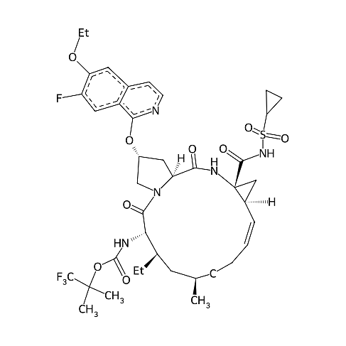 CCOc1cc2ccnc(O[C@@H]3C[C@H]4C(=O)N[C@]5(C(=O)NS(=O)(=O)C6CC6)C[C@H]5C=CCC[C@@H](C)C[C@@H](CC)[C@H](NC(=O)OC(C)(C)C(F)(F)F)C(=O)N4C3)c2cc1F